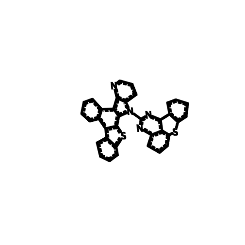 c1ccc2c(c1)Sc1cccc3nc(-n4c5cccnc5c5c6ccccc6c6c7ccccc7sc6c54)nc-2c13